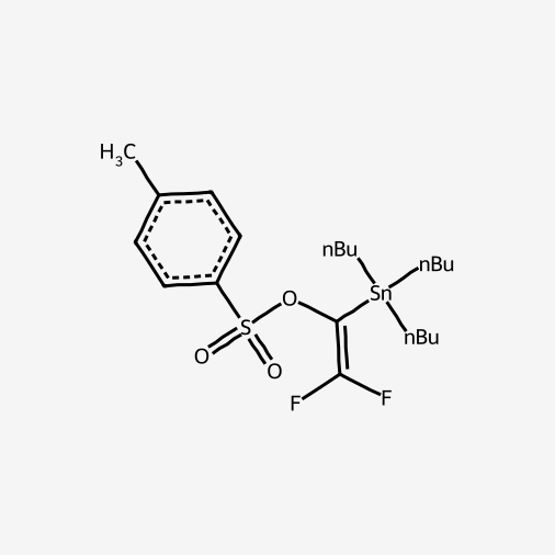 CCC[CH2][Sn]([CH2]CCC)([CH2]CCC)[C](OS(=O)(=O)c1ccc(C)cc1)=C(F)F